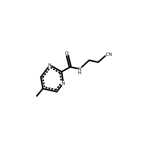 Cc1cnc(C(=O)NCCC#N)nc1